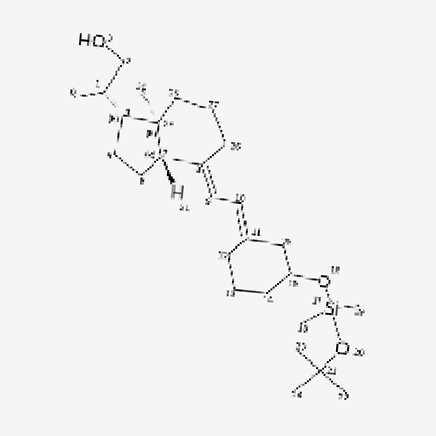 CC(CO)[C@H]1CC[C@H]2C(=CC=C3CCCC(O[Si](C)(C)OC(C)(C)C)C3)CCC[C@]12C